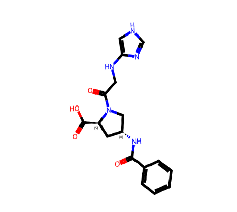 O=C(N[C@@H]1C[C@@H](C(=O)O)N(C(=O)CNc2c[nH]cn2)C1)c1ccccc1